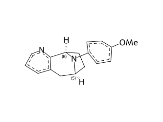 COc1ccc(N2[C@H]3CC[C@@H]2c2ncccc2C3)cc1